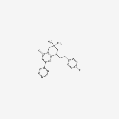 CC1(C)CN(CCc2ccc(F)cc2)c2nc(-c3ccncn3)cc(=O)n2C1